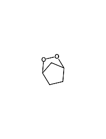 C1CC2CC1OO2